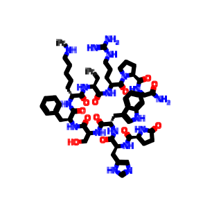 CC(C)C[C@H](NC(=O)[C@@H](CCCCCNC(C)C)NC(=O)[C@H](Cc1ccccc1)NC(=O)C(CO)NC(=O)[C@H](Cc1c[nH]c2ccccc12)NC(=O)[C@H](Cc1cnc[nH]1)NC(=O)[C@@H]1CCC(=O)N1)C(=O)N[C@@H](CCCNC(=N)N)C(=O)N1CCC[C@H]1C(=O)NCC(N)=O